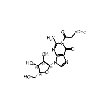 CCCCCCCCCCCC(=O)n1c(N)nc2c(ncn2[C@@H]2O[C@H](CO)[C@@H](O)[C@H]2O)c1=O